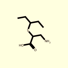 CCC(CC)SC(CN)C(=O)O